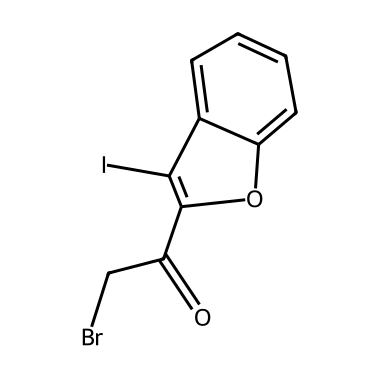 O=C(CBr)c1oc2ccccc2c1I